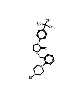 CCN1CCN(c2ccccc2C[C@@H]2CCN(c3ccc(C(C)(C)O)cc3)C2=O)CC1